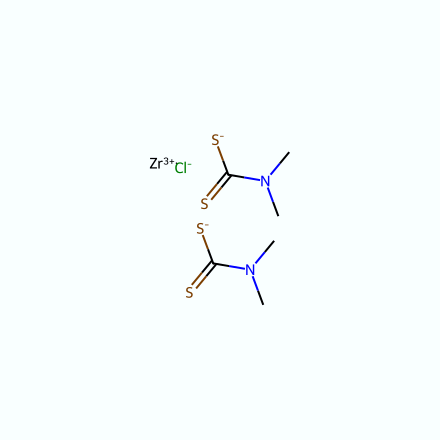 CN(C)C(=S)[S-].CN(C)C(=S)[S-].[Cl-].[Zr+3]